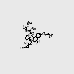 CCC1CC1(NC(=O)C1(Oc2nccc3cc(OCCN(C)C)ccc23)CCCN1C(=O)C(NC(=O)OC(C)(C)C)C(C)(C)C)C(=O)O